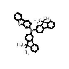 CC1(C)c2ccccc2-c2cc(N(c3ccc4c(c3)C(C)(C)c3ccccc3-4)c3ccc4c(c3)sc3ccccc34)ccc21